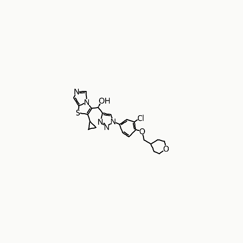 O[C@@H](c1cn(-c2ccc(OCC3CCOCC3)c(Cl)c2)nn1)c1c(C2CC2)sc2cncn12